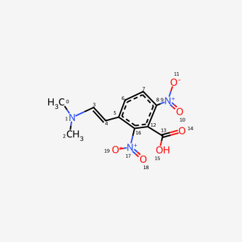 CN(C)/C=C/c1ccc([N+](=O)[O-])c(C(=O)O)c1[N+](=O)[O-]